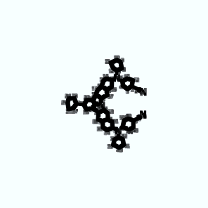 N#Cc1ccc(N(c2ccccc2)c2ccc3cc4c5cc(-c6ccccc6)cc6c7cc8ccc(N(c9ccccc9)c9ccc(C#N)cc9)cc8cc7n(c4cc3c2)c56)cc1